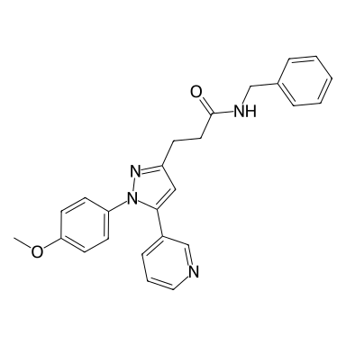 COc1ccc(-n2nc(CCC(=O)NCc3ccccc3)cc2-c2cccnc2)cc1